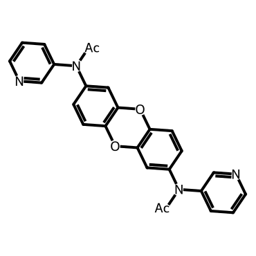 CC(=O)N(c1cccnc1)c1ccc2c(c1)Oc1ccc(N(C(C)=O)c3cccnc3)cc1O2